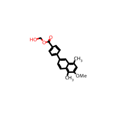 COc1cc(C)c2cc(-c3ccc(C(=O)OCO)cc3)ccc2c1C